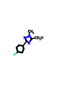 Cn1nc(-c2ccc(F)cc2)nc1C(=O)O